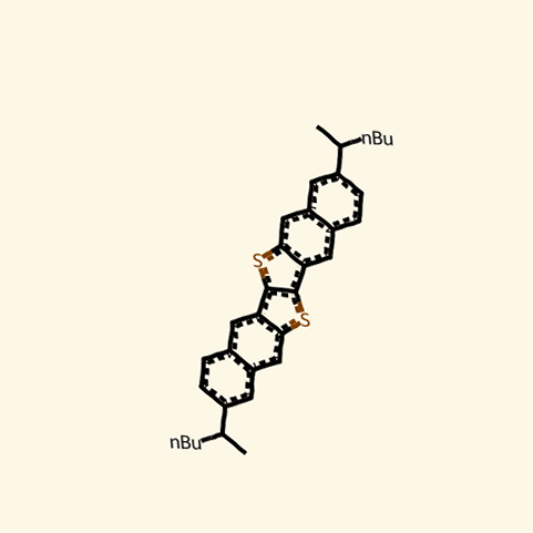 CCCCC(C)c1ccc2cc3c(cc2c1)sc1c2cc4ccc(C(C)CCCC)cc4cc2sc31